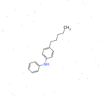 CCCCCc1ccc(Nc2ccccc2)cc1